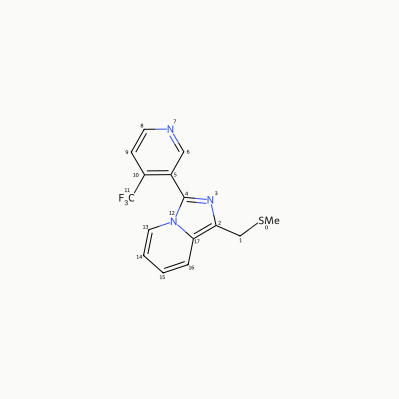 CSCc1nc(-c2cnccc2C(F)(F)F)n2ccccc12